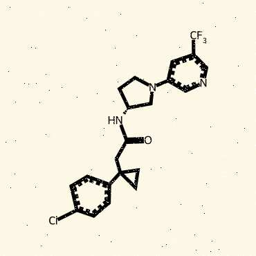 O=C(CC1(c2ccc(Cl)cc2)CC1)N[C@@H]1CCN(c2cncc(C(F)(F)F)c2)C1